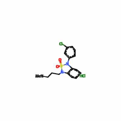 CNCCCN1c2ccccc2N(c2cccc(Cl)c2)S1(=O)=O.Cl